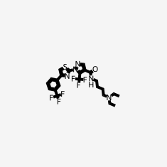 CCN(CC)CCCCNC(=O)c1cnn(-c2nc(-c3cccc(C(F)(F)F)c3)cs2)c1C(F)(F)F